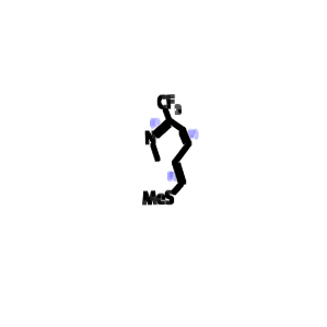 C\N=C(/C=C\C=C\SC)C(F)(F)F